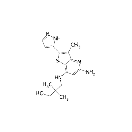 Cc1c(-c2ccn[nH]2)sc2c(NCC(C)(C)CO)cc(N)nc12